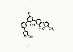 Cn1ccn(-c2ccc(-c3cc(F)cc(-c4ccnc(N5C[C@H](O)[C@@H](F)C5)c4)c3O)cc2Cl)c1=O